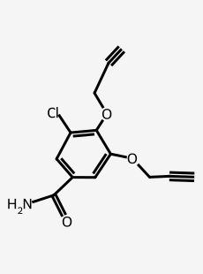 C#CCOc1cc(C(N)=O)cc(Cl)c1OCC#C